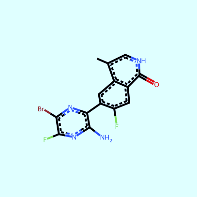 Cc1c[nH]c(=O)c2cc(F)c(-c3nc(Br)c(F)nc3N)cc12